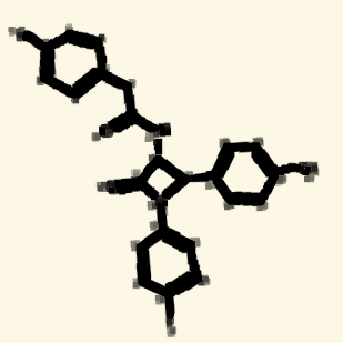 O=C(Cc1ccc(F)cc1)N[C@H]1C(=O)N(c2ccc(F)cc2)[C@@H]1c1ccc(O)cc1